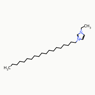 CCCCCCCCCCCCCCCCCCC[n+]1ccn(CC)c1